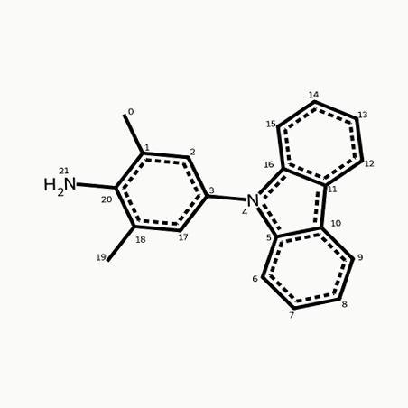 Cc1cc(-n2c3ccccc3c3ccccc32)cc(C)c1N